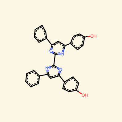 Oc1ccc(-c2cc(-c3ccccc3)nc(-c3nc(-c4ccccc4)cc(-c4ccc(O)cc4)n3)n2)cc1